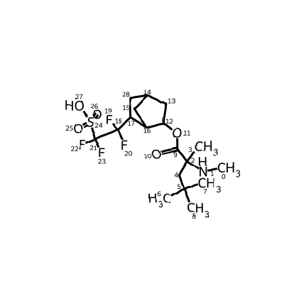 CNC(C)(CC(C)(C)C)C(=O)OC1CC2CC1C(C(F)(F)C(F)(F)S(=O)(=O)O)C2